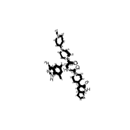 [2H]c1n[nH]c2c(C)cc(C[C@@H](NC(=O)N3CCC(c4cc5c([nH]c4=O)SCC5)CC3)C(=O)N3CCN(C4CCN(C)CC4)CC3)cc12